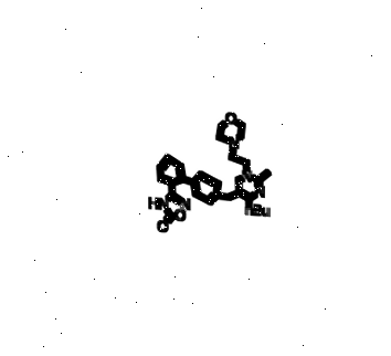 CCCCC1=C(Cc2ccc(-c3ccccc3-c3noc(=O)[nH]3)cc2)CN(CCN2CCOCC2)C(C)=N1